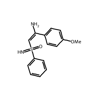 COc1ccc(/C(N)=C\S(=N)(=O)c2ccccc2)cc1